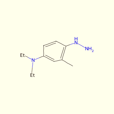 CCN(CC)c1ccc(NN)c(C)c1